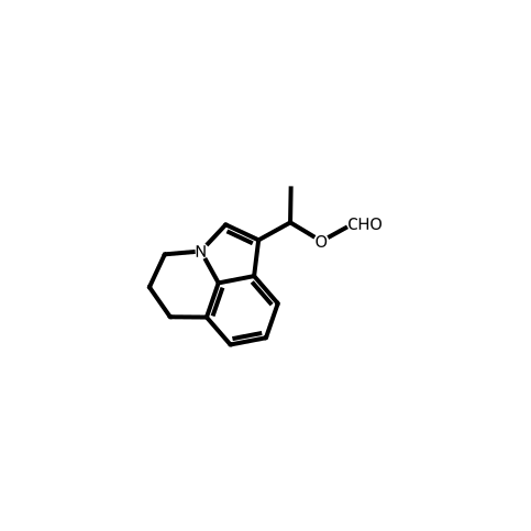 CC(OC=O)c1cn2c3c(cccc13)CCC2